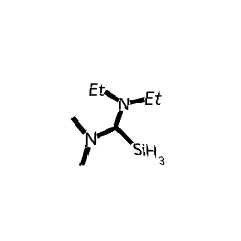 CCN(CC)C([SiH3])N(C)C